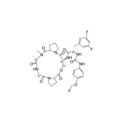 C[C@@H]1NC(=O)[C@H](C)N(C)C(=O)C2CCCN2C(=O)[C@@H](NC(=O)[C@H](Cc2cc(F)cc(F)c2)NC(=O)Nc2ccc(OCF)cc2)[C@H](C)OC(=O)C2CCCN2C1=O